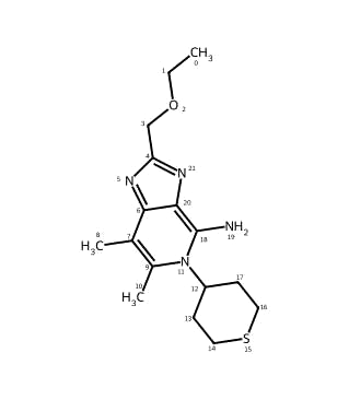 CCOCc1nc2c(C)c(C)n(C3CCSCC3)c(N)c-2n1